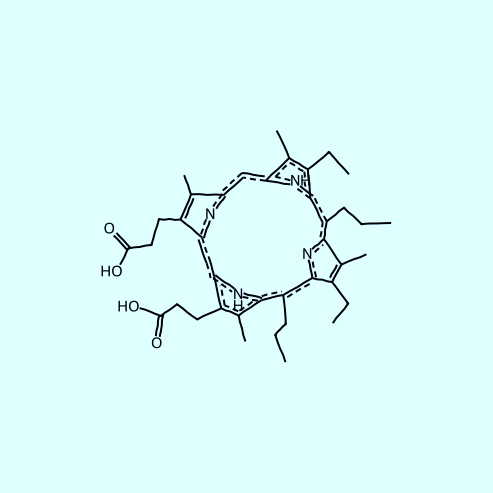 CCCc1c2nc(c(CCC)c3[nH]c(cc4nc(cc5[nH]c1c(C)c5CCC(=O)O)C(CCC(=O)O)=C4C)c(C)c3CC)C(C)=C2CC